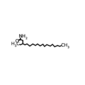 CCCCCCCCCCCCCCCCC(CC)CC(N)=O